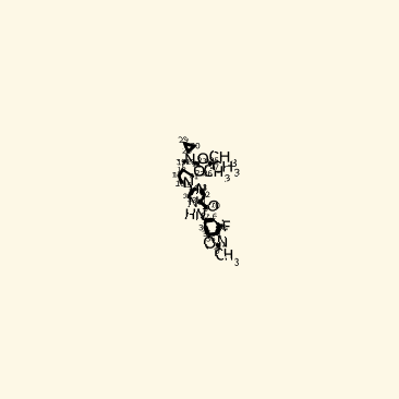 Cc1nc2c(F)cc(NC(=O)c3cnc(N4CC[C@H](CN(C(=O)OC(C)(C)C)C5CC5)C4)cn3)cc2o1